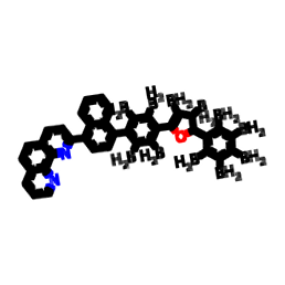 BC1=C(c2c(B)c(B)c(-c3ccc(-c4ccc5ccc6cccnc6c5n4)c4ccccc34)c(B)c2B)OC(c2c(B)c(B)c(B)c(B)c2B)C1B